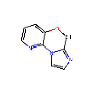 B1Oc2cccnc2-n2ccnc21